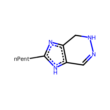 CCCCCc1nc2c([nH]1)C=NNC2